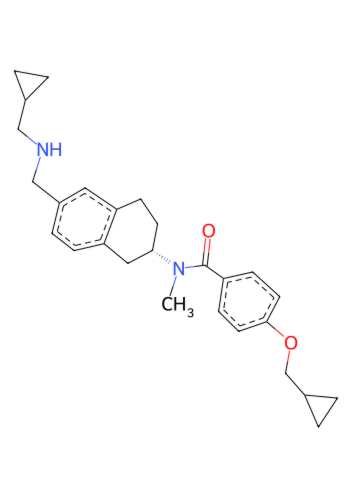 CN(C(=O)c1ccc(OCC2CC2)cc1)[C@H]1CCc2cc(CNCC3CC3)ccc2C1